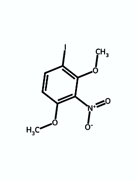 COc1ccc(I)c(OC)c1[N+](=O)[O-]